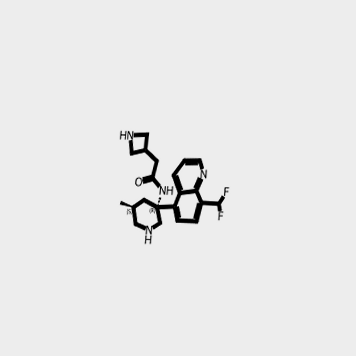 C[C@@H]1CNC[C@](NC(=O)CC2CNC2)(c2ccc(C(F)F)c3ncccc23)C1